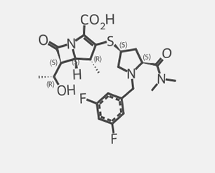 C[C@@H](O)[C@H]1C(=O)N2C(C(=O)O)=C(S[C@H]3C[C@@H](C(=O)N(C)C)N(Cc4cc(F)cc(F)c4)C3)[C@H](C)[C@H]12